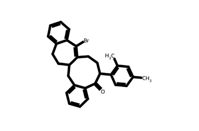 Cc1ccc(C2CCC3=C(Br)c4ccccc4CCC3Cc3ccccc3C2=O)c(C)c1